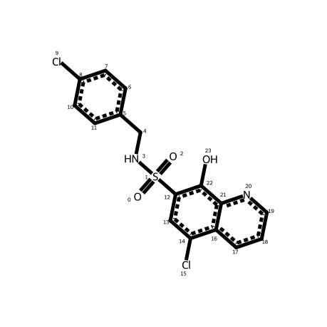 O=S(=O)(NCc1ccc(Cl)cc1)c1cc(Cl)c2cccnc2c1O